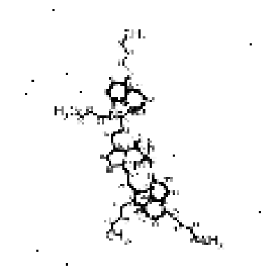 CCCCOc1ccc2c3c(cccc13)C(/C=C/C1=C(C(=O)C(F)(F)F)C(=C/C=c3\c4cccc5c(OCCCC)ccc(c54)n3CCCC)/CC1)=[N+]2CCCC